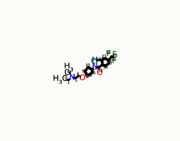 CCN(CC)CCOc1ccc(NC(=O)c2ccc(C(F)(F)F)cc2Cl)cc1